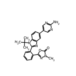 Cn1nc(-c2ccccc2-c2nc3cc(-c4cnc(N)nc4)ccc3n2C(C)(C)C)oc1=O